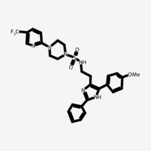 COc1ccc(-c2[nH]c(-c3ccccc3)nc2CCNS(=O)(=O)N2CCN(c3ccc(C(F)(F)F)cn3)CC2)cc1